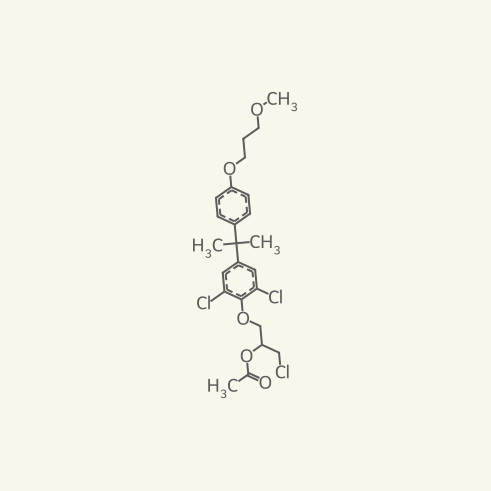 COCCCOc1ccc(C(C)(C)c2cc(Cl)c(OCC(CCl)OC(C)=O)c(Cl)c2)cc1